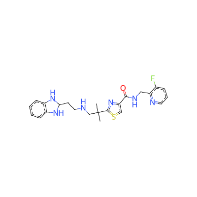 CC(C)(CNCCC1Nc2ccccc2N1)c1nc(C(=O)NCc2ncccc2F)cs1